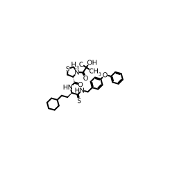 CC(C)(O)C(=O)N1CSC[C@H]1C(=O)N[C@H](CCC1CCCCC1)C(=S)NCc1ccc(Oc2ccccc2)cc1